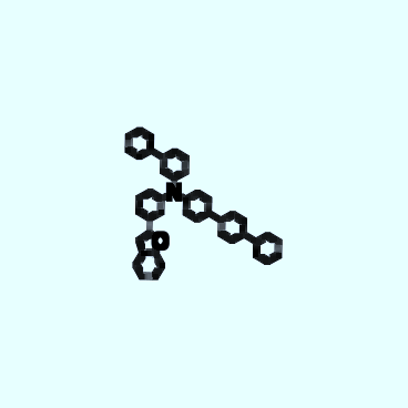 c1ccc(-c2ccc(-c3ccc(N(c4cccc(-c5ccccc5)c4)c4cccc(-c5cc6ccccc6o5)c4)cc3)cc2)cc1